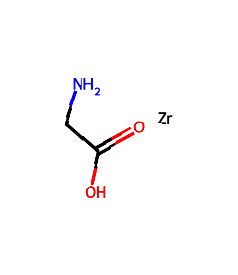 NCC(=O)O.[Zr]